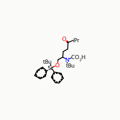 CC(C)C(=O)CCC(CO[Si](c1ccccc1)(c1ccccc1)C(C)(C)C)N(C(=O)O)C(C)(C)C